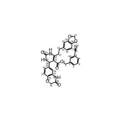 N#Cc1cccc(COC(=O)C2=C(CCc3ccc4c(c3)OCO4)NC(=O)NC2c2ccc3c(c2)NC(=O)CO3)c1